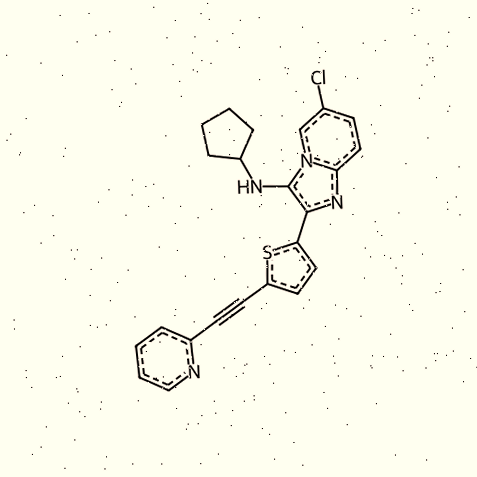 Clc1ccc2nc(-c3ccc(C#Cc4ccccn4)s3)c(NC3CCCC3)n2c1